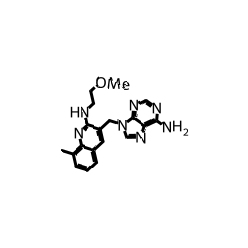 COCCNc1nc2c(C)cccc2cc1Cn1cnc2c(N)ncnc21